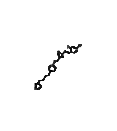 Fc1cc(Cl)ccc1/C=C/c1nc(COc2ccc(CCCCn3ccnn3)cc2)co1